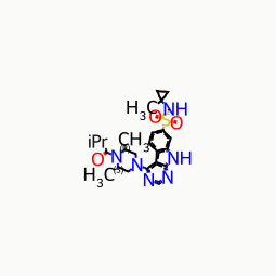 CC(C)C(=O)N1[C@H](C)CN(c2ncnc3[nH]c4cc(S(=O)(=O)NC5(C)CC5)ccc4c23)C[C@@H]1C